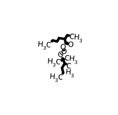 CCCCC(CC)C(=O)OOOC(C)(C)C(C)CCC